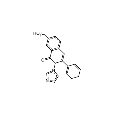 O=C(O)c1ccc2c(c1)C(=O)C(n1ccnc1)C(C1=CCCC=C1)=C2